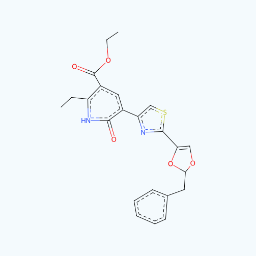 CCOC(=O)c1cc(-c2csc(C3=COC(Cc4ccccc4)O3)n2)c(=O)[nH]c1CC